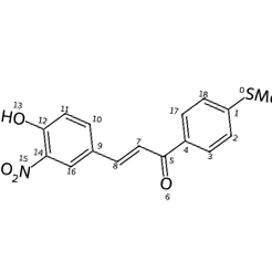 CSc1ccc(C(=O)/C=C/c2ccc(O)c([N+](=O)[O-])c2)cc1